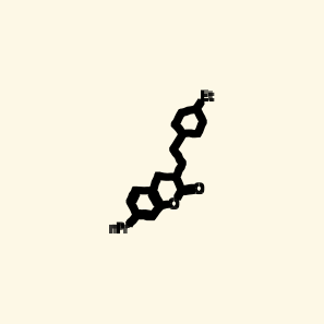 CCCc1ccc2c(c1)OC(=O)C(CCC1CCC(CC)CC1)C2